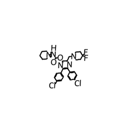 O=C(NN1CCCCC1)Oc1nc(-c2ccc(Cl)cc2)c(-c2ccc(Cl)cc2)nc1CN1CCC(F)(F)CC1